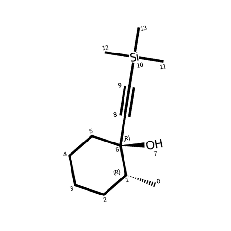 C[C@@H]1CCCC[C@]1(O)C#C[Si](C)(C)C